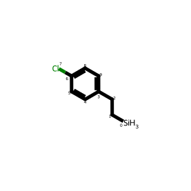 [SiH3]CCc1ccc(Cl)cc1